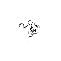 O=C([O-])C1=C(c2ccccc2C[n+]2ccccc2)S[C@@H]2[C@@H](CCO)C(=O)N12